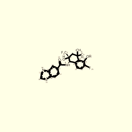 CC1(C)C[C@](O)(C(F)(F)F)[C@@H](NC(=O)c2ccc3nccnc3c2)c2ccc(F)c(O)c21